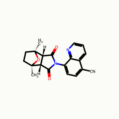 C[C@]12CC[C@](C)(O1)[C@@H]1C(=O)N(c3ccc(C#N)c4cccnc34)C(=O)[C@@H]12